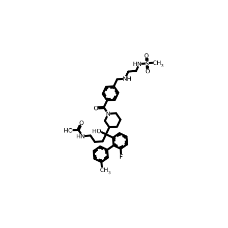 Cc1cccc(-c2c(F)cccc2C(O)(CCCNC(=O)O)C2CCCN(C(=O)c3ccc(CNCCNS(C)(=O)=O)cc3)C2)c1